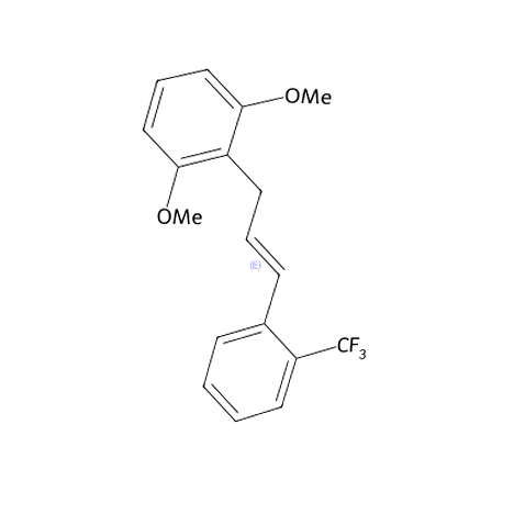 COc1cccc(OC)c1C/C=C/c1ccccc1C(F)(F)F